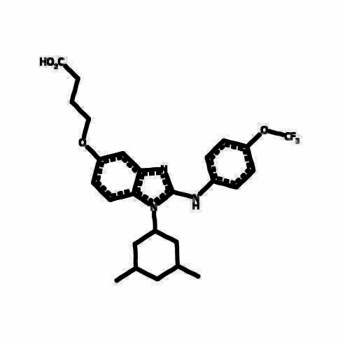 CC1CC(C)CC(n2c(Nc3ccc(OC(F)(F)F)cc3)nc3cc(OCCCC(=O)O)ccc32)C1